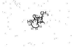 CC1=C\C=C\C2=C(\C=C\1)C(=O)NCCCC2